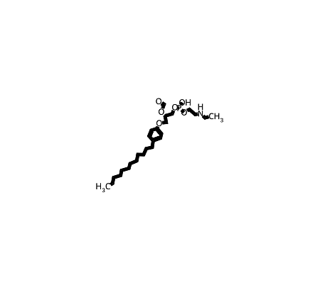 CCCCCCCCCCCCc1ccc(OCC(COP(O)OCCNCC)OC=O)cc1